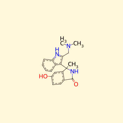 CN(C)Cc1[nH]c2ccccc2c1C1(C)NC(=O)c2ccc(O)cc21